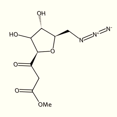 COC(=O)CC(=O)[C@@H]1O[C@H](CN=[N+]=[N-])[C@@H](O)C1O